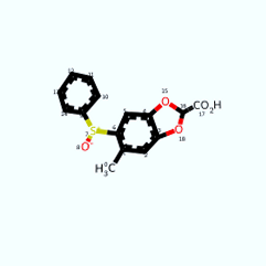 Cc1cc2c(cc1[S+]([O-])c1ccccc1)OC(C(=O)O)O2